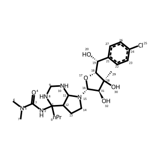 CCCC1(NC(=O)N(C)C)NCNC2C1CCN2[C@@H]1O[C@H]([C@H](O)c2ccc(Cl)cc2)[C@@](C)(O)[C@H]1O